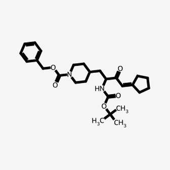 CC(C)(C)OC(=O)NC(CC1CCN(C(=O)OCc2ccccc2)CC1)C(=O)C=C1CCCC1